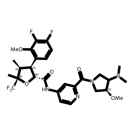 COc1c([C@H]2[C@H](C(=O)Nc3ccnc(C(=O)N4CC(N(C)C)[C@@H](OC)C4)c3)O[C@@](C)(C(F)(F)F)[C@H]2C)ccc(F)c1F